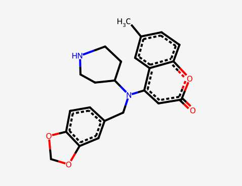 Cc1ccc2oc(=O)cc(N(Cc3ccc4c(c3)OCO4)C3CCNCC3)c2c1